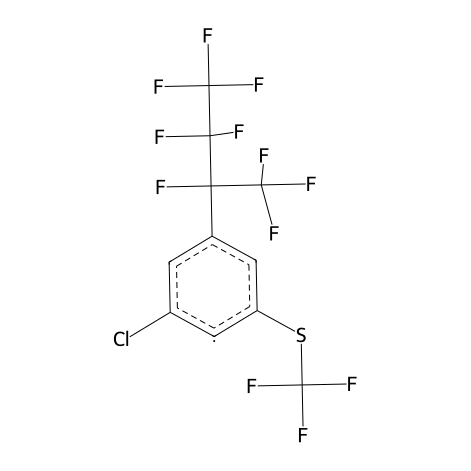 FC(F)(F)Sc1[c]c(Cl)cc(C(F)(C(F)(F)F)C(F)(F)C(F)(F)F)c1